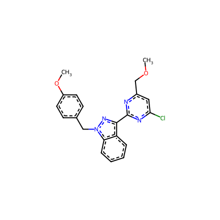 COCc1cc(Cl)nc(-c2nn(Cc3ccc(OC)cc3)c3ccccc23)n1